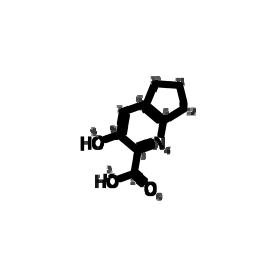 O=C(O)c1nc2c(cc1O)CCC2